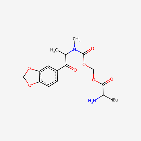 CCC(C)C(N)C(=O)OCOC(=O)N(C)C(C)C(=O)c1ccc2c(c1)OCO2